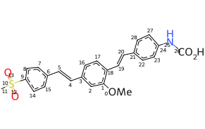 COc1cc(/C=C/c2ccc(S(C)(=O)=O)cc2)ccc1/C=C/c1ccc(NC(=O)O)cc1